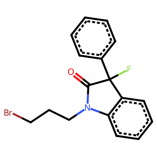 O=C1N(CCCBr)c2ccccc2C1(F)c1ccccc1